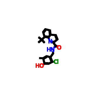 Cc1cc(CNC(=O)c2ccc3cccc(C(C)(C)C)c3n2)c(Cl)cc1O